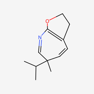 CC(C)C1(C)C=CC2=C(N=C1)OCC2